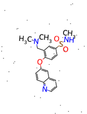 CNS(=O)(=O)c1ccc(Oc2ccc3ncccc3c2)c(CN(C)C)c1